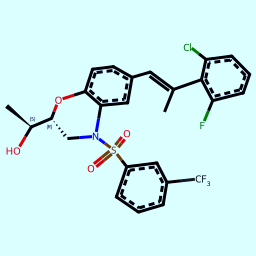 CC(=Cc1ccc2c(c1)N(S(=O)(=O)c1cccc(C(F)(F)F)c1)C[C@H]([C@H](C)O)O2)c1c(F)cccc1Cl